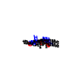 COC[C@H]1C[C@@H](c2nc(-c3ccc(-c4ccc(C(=O)Nc5ccc(N6CCN(C(=O)C(C)(C)C)C[C@H]6C)nc5)c(F)c4OC(F)(F)F)cc3)c[nH]2)N(C(=O)[C@@H](NC(=O)OC)C(C)C)C1